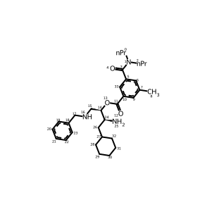 CCCN(CCC)C(=O)c1cc(C)cc(C(=O)O[C@H](CNCc2ccccc2)[C@@H](N)CC2CCCCC2)c1